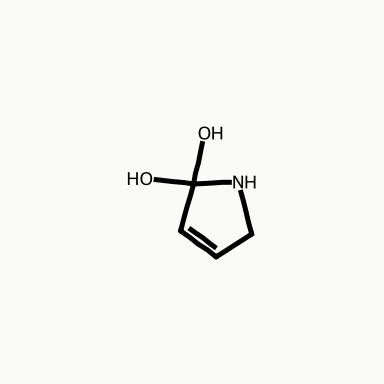 OC1(O)C=CCN1